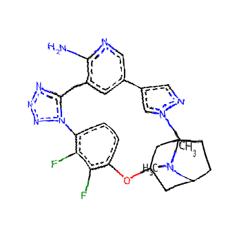 CN1C2CCC1CC(Oc1ccc(-n3nnnc3-c3cc(-c4cnn(C)c4)cnc3N)c(F)c1F)C2